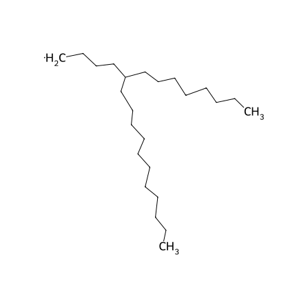 [CH2]CCCC(CCCCCCCC)CCCCCCCCCCC